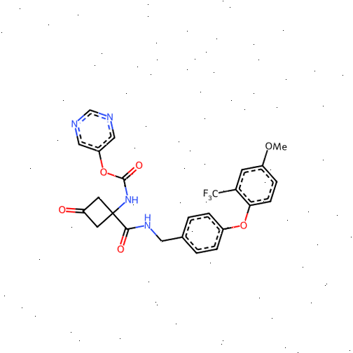 COc1ccc(Oc2ccc(CNC(=O)C3(NC(=O)Oc4cncnc4)CC(=O)C3)cc2)c(C(F)(F)F)c1